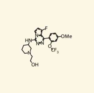 COc1ccc(-c2nnc(NC3CCCN(CCO)C3)n3ccc(F)c23)c(OC(F)(F)F)c1